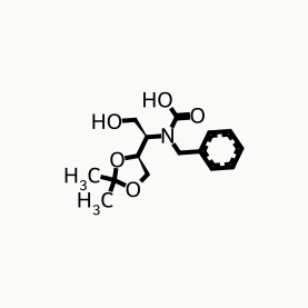 CC1(C)OC[C@H]([C@@H](CO)N(Cc2ccccc2)C(=O)O)O1